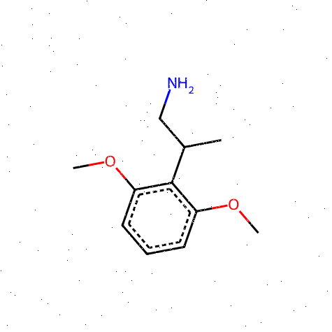 COc1cccc(OC)c1C(C)CN